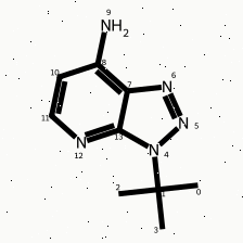 CC(C)(C)n1nnc2c(N)ccnc21